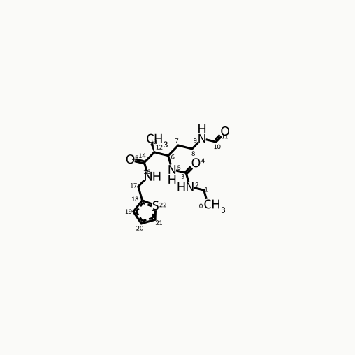 CCNC(=O)NC(CCNC=O)[C@H](C)C(=O)NCc1cccs1